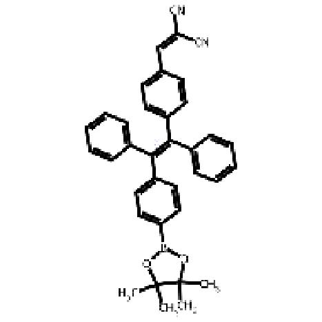 CC1(C)OB(c2ccc(/C(=C(\c3ccccc3)c3ccc(C=C(C#N)C#N)cc3)c3ccccc3)cc2)OC1(C)C